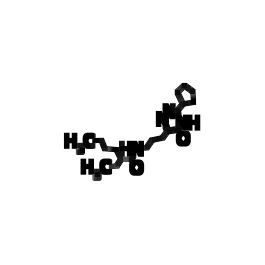 CCCCC(CC)C(=O)NCCCc1nnc(C2CCCC2)[nH]c1=O